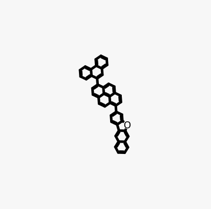 c1ccc2cc3c(cc2c1)oc1cc(-c2ccc4ccc5c(-c6cc7ccccc7c7ccccc67)ccc6ccc2c4c65)ccc13